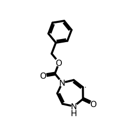 O=C1[C]=CN(C(=O)OCc2ccccc2)C=CN1